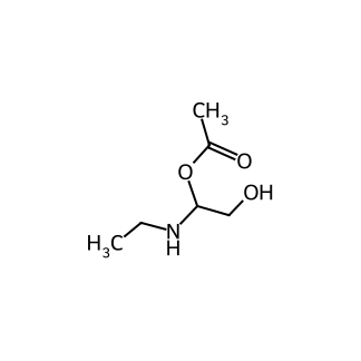 CCNC(CO)OC(C)=O